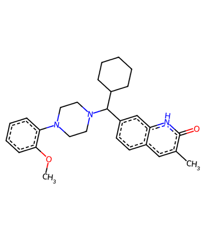 COc1ccccc1N1CCN(C(c2ccc3cc(C)c(=O)[nH]c3c2)C2CCCCC2)CC1